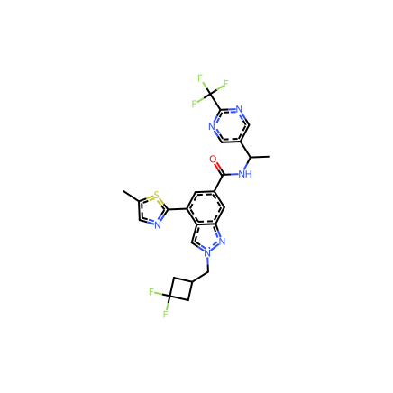 Cc1cnc(-c2cc(C(=O)NC(C)c3cnc(C(F)(F)F)nc3)cc3nn(CC4CC(F)(F)C4)cc23)s1